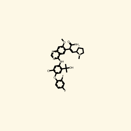 COc1cc2ncnc(Nc3cc(Cl)c(Oc4ccc(F)cc4F)cc3C(C)(C)O)c2cc1C(=CC1CCCN1C)C(N)=O